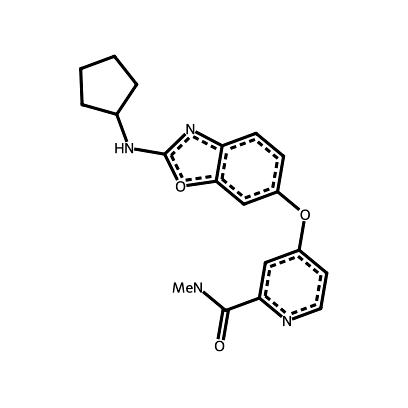 CNC(=O)c1cc(Oc2ccc3nc(NC4CCCC4)oc3c2)ccn1